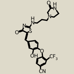 N#Cc1ccc(Oc2ccc(/C=C3\SC(NCCCN4CCNC(=O)C4)=NC3=O)cc2O)c(C(F)(F)F)c1